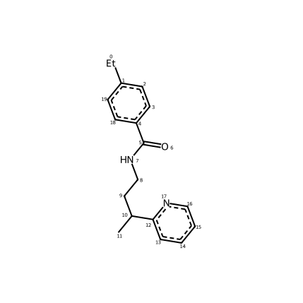 CCc1ccc(C(=O)NCCC(C)c2ccccn2)cc1